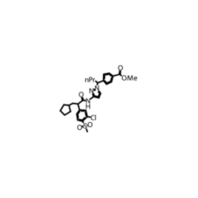 CCCC(c1ccc(C(=O)OC)cc1)n1ccc(NC(=O)C(CC2CCCC2)c2ccc(S(C)(=O)=O)c(Cl)c2)n1